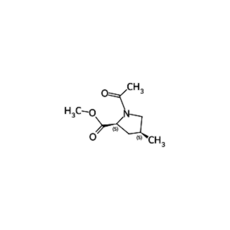 COC(=O)[C@@H]1C[C@H](C)CN1C(C)=O